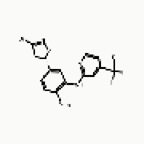 Cc1ccc([C@@H]2CC(Br)=NO2)cc1Nc1cc(C(F)(F)F)ccn1